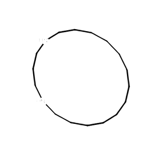 C1CCCCCCNCCCNCCCCCC1